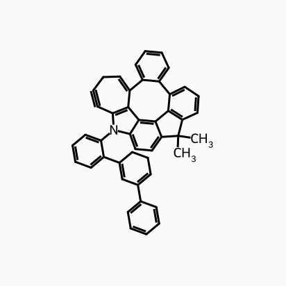 CC1(C)c2cccc3c4ccccc4c4c5c(n(-c6ccccc6C6=CC(c7ccccc7)=CCC6)c6ccc1c(c23)c56)C#CCC=4